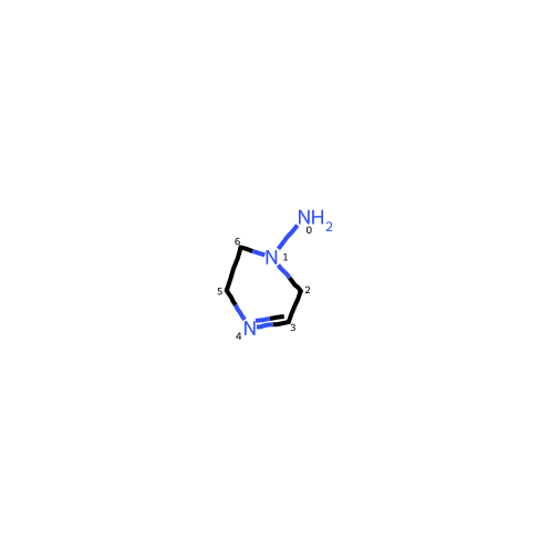 NN1CC=NCC1